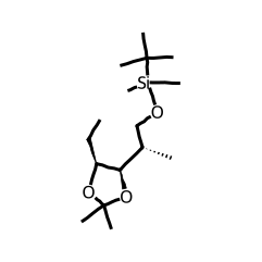 CC[C@@H]1OC(C)(C)O[C@@H]1[C@@H](C)CO[Si](C)(C)C(C)(C)C